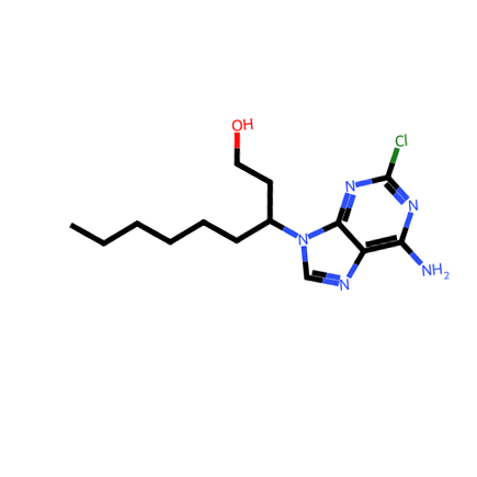 CCCCCCC(CCO)n1cnc2c(N)nc(Cl)nc21